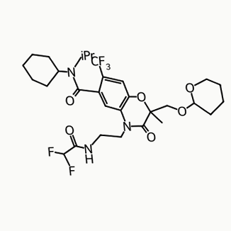 CC(C)N(C(=O)c1cc2c(cc1C(F)(F)F)OC(C)(COC1CCCCO1)C(=O)N2CCNC(=O)C(F)F)C1CCCCC1